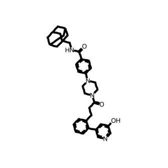 O=C(NCC12CC3CC(CC(C3)C1)C2)c1ccc(N2CCN(C(=O)CCc3ccccc3-c3cncc(O)c3)CC2)cc1